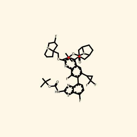 CC(C)(C)OC(=O)Nc1nc2c(-c3c(C4CC4(F)F)cc4c(N5CC6CCC(C5)N6C(=O)OC(C)(C)C)nc(OCC56CCCN5CC(F)C6)nc4c3F)ccc(F)c2s1